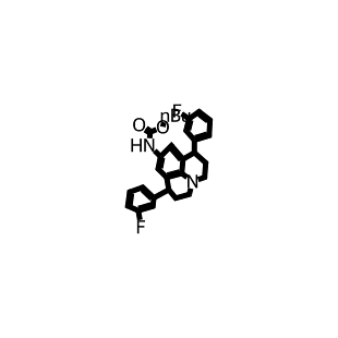 CCCCOC(=O)Nc1cc2c3c(c1)C(c1cccc(F)c1)CCN3CCC2c1cccc(F)c1